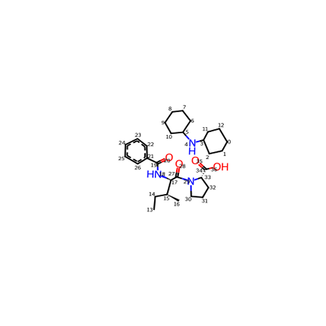 C1CCC(NC2CCCCC2)CC1.CC[C@H](C)[C@@H](NC(=O)c1ccccc1)C(=O)N1CCC[C@H]1C(=O)O